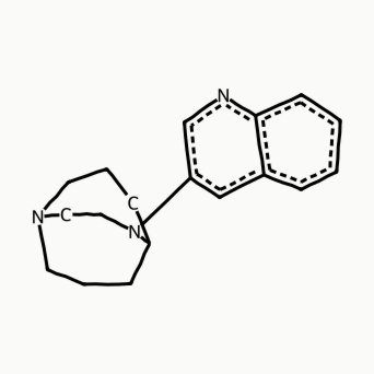 c1ccc2ncc(N3CCN4CCCC3CCC4)cc2c1